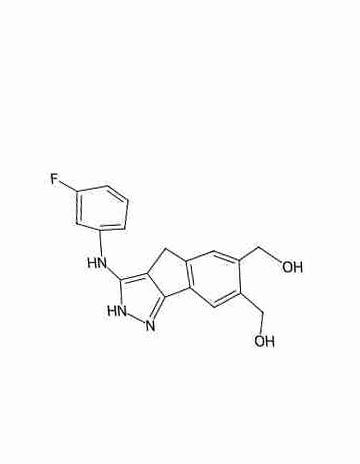 OCc1cc2c(cc1CO)-c1n[nH]c(Nc3cccc(F)c3)c1C2